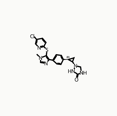 Cn1cnc(-c2ccc([C@H]3CC3N3CNC(=O)N3)cc2)c1Sc1ccc(Cl)cn1